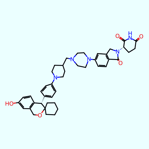 O=C1CC[C@H](N2Cc3cc(N4CCN(CC5CCN(c6ccc([C@H]7c8ccc(O)cc8COC78CCCCC8)cc6)CC5)CC4)ccc3C2=O)C(=O)N1